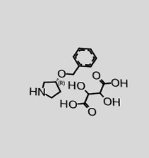 O=C(O)C(O)C(O)C(=O)O.c1ccc(CO[C@@H]2CCNC2)cc1